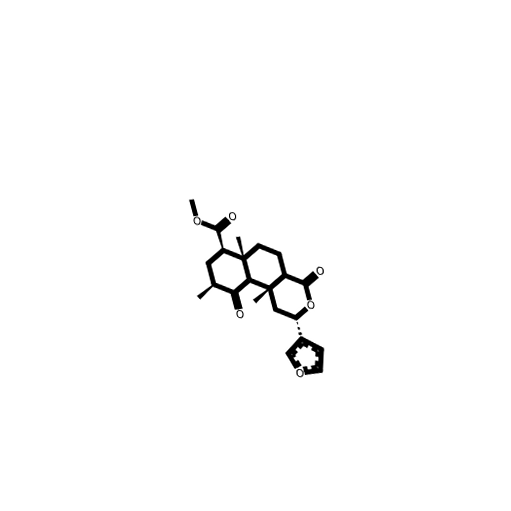 COC(=O)[C@@H]1C[C@H](C)C(=O)C2[C@@]3(C)C[C@@H](c4ccoc4)OC(=O)C3CC[C@]21C